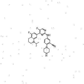 CC(C)N1CCCc2c(F)cc(-c3nc(Nc4ccc(N5CCNCC5)c(C#N)c4)ncc3F)cc21